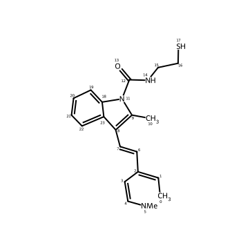 C/C=C(\C=C/NC)/C=C/c1c(C)n(C(=O)NCCS)c2ccccc12